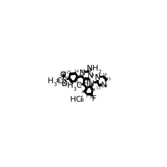 CC(c1ccc(F)cc1)c1c(Nc2cnccn2)nc(N)nc1-c1ccc(S(C)(=O)=O)cc1.Cl